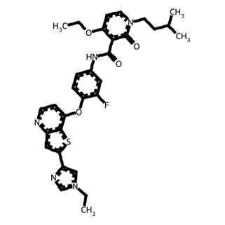 CCOc1ccn(CCC(C)C)c(=O)c1C(=O)Nc1ccc(Oc2ccnc3cc(-c4cn(CC)cn4)sc23)c(F)c1